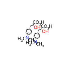 CN(C)c1ccc(CC(O)C(=O)O)cc1.CN(C)c1ccc(CC(O)C(=O)O)cc1